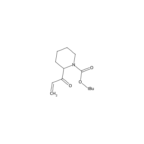 C=CC(=O)C1CCCCN1C(=O)OC(C)(C)C